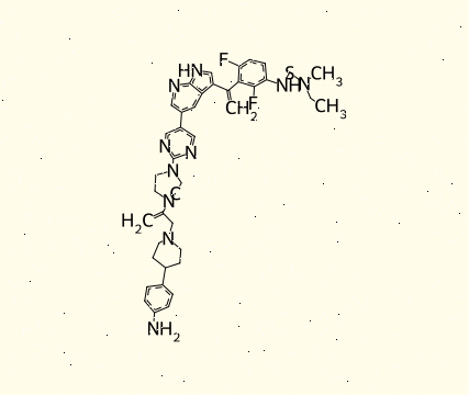 C=C(c1c(F)ccc(NSN(C)CC)c1F)c1c[nH]c2ncc(-c3cnc(N4CCN(C(=C)CN5CCC(c6ccc(N)cc6)CC5)CC4)nc3)cc12